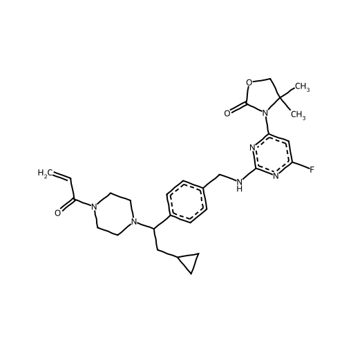 C=CC(=O)N1CCN(C(CC2CC2)c2ccc(CNc3nc(F)cc(N4C(=O)OCC4(C)C)n3)cc2)CC1